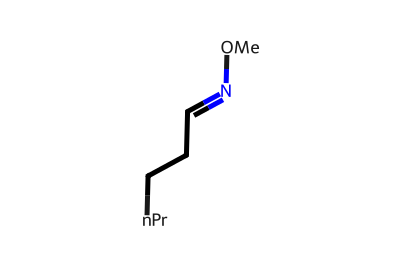 [CH2]CCCCC=NOC